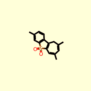 CC1=CC2=C(CC(C)=C1)c1ccc(C)cc1S2(=O)=O